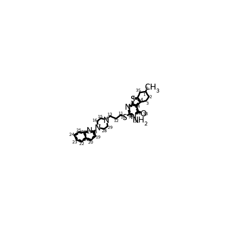 CC1CCc2c(sc3nc(SCCCN4CCN(c5ccc6ccccc6n5)CC4)n(N)c(=O)c23)C1